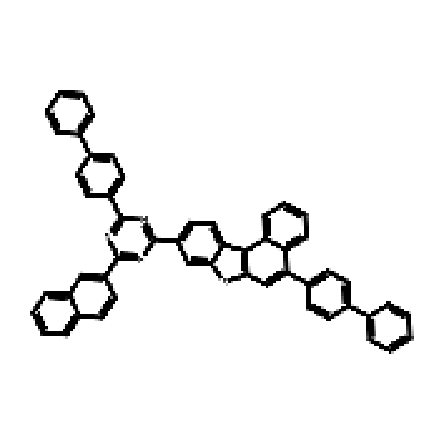 c1ccc(-c2ccc(-c3nc(-c4ccc5ccccc5c4)nc(-c4ccc5c(c4)sc4cc(-c6ccc(-c7ccccc7)cc6)c6ccccc6c45)n3)cc2)cc1